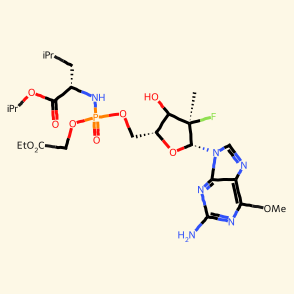 CCOC(=O)COP(=O)(N[C@@H](CC(C)C)C(=O)OC(C)C)OC[C@H]1O[C@@H](n2cnc3c(OC)nc(N)nc32)[C@](C)(F)C1O